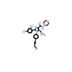 CCc1c(C(=O)NN2CCOCC2)nc(-c2ccc(Cl)cc2Cl)n1-c1ccc(C#CCCF)cc1